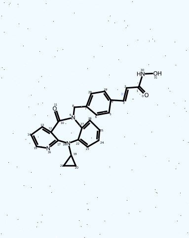 O=C(/C=C/c1ccc(CN2C(=O)c3cccnc3N(C3CC3)c3ccccc32)cc1)NO